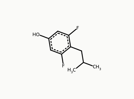 CC(C)Cc1c(F)cc(O)cc1F